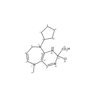 CN1C=CCN(C2CCCC2)C2=C1C=NC(Cl)(C(=O)O)N2